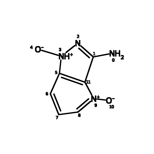 NC1=N[NH+]([O-])c2ccc[n+]([O-])c21